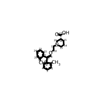 Cc1ccccc1C(=COCCN1CCC[C@@H](C(=O)O)C1)c1ccccc1C